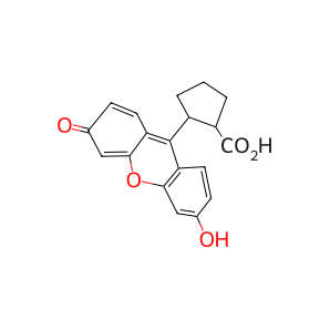 O=C(O)C1CCCC1c1c2ccc(=O)cc-2oc2cc(O)ccc12